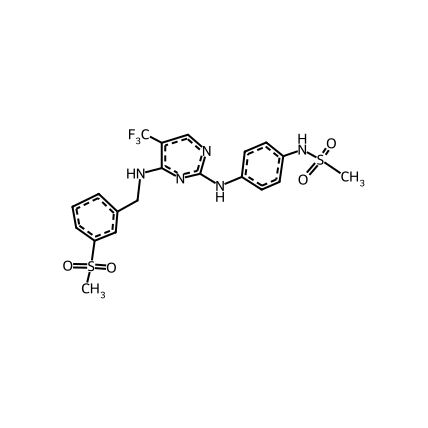 CS(=O)(=O)Nc1ccc(Nc2ncc(C(F)(F)F)c(NCc3cccc(S(C)(=O)=O)c3)n2)cc1